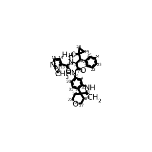 C=C1Nc2cc(NC(=O)[C@@H](NC(=O)c3ccnn3C)[C@H](c3ccccc3)C3(C)CC3)ccc2C12CCOCC2